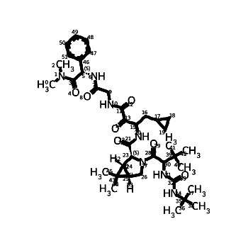 CN(C)C(=O)[C@@H](NC(=O)CNC(=O)C(=O)C(CC1CC1)NC(=O)[C@@H]1[C@@H]2[C@H](CN1C(=O)C(NC(=O)NC(C)(C)C)C(C)(C)C)C2(C)C)c1ccccc1